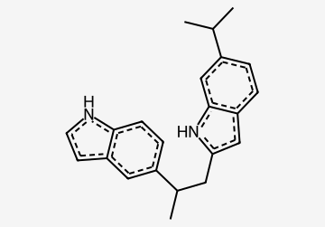 CC(C)c1ccc2cc(CC(C)c3ccc4[nH]ccc4c3)[nH]c2c1